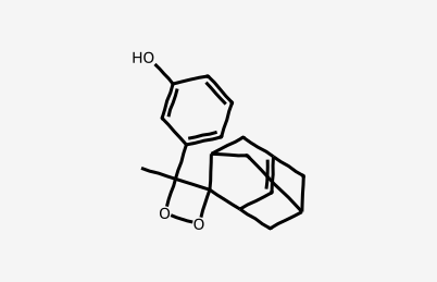 CC1(c2cccc(O)c2)OOC12C1C=C3CC(C1)CC2C3